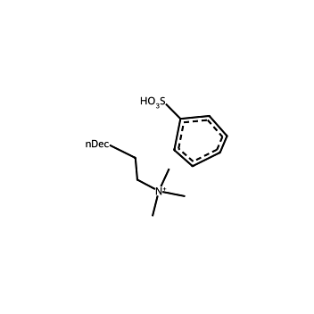 CCCCCCCCCCCC[N+](C)(C)C.O=S(=O)(O)c1ccccc1